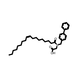 CCCCCCCC/C=C\CCCCCCCC(=O)N(CC(=O)O)Cc1ccc(-c2ccccc2)cc1